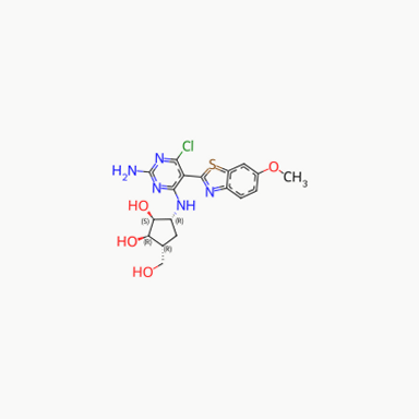 COc1ccc2nc(-c3c(Cl)nc(N)nc3N[C@@H]3C[C@H](CO)[C@@H](O)[C@H]3O)sc2c1